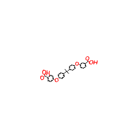 CC(C)(c1ccc(Oc2ccc(C(=O)O)cc2)cc1)c1ccc(Oc2cccc(C(=O)O)c2)cc1